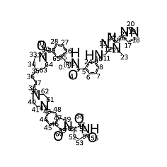 C[C@@H](NC(=O)c1cccc(NCc2nnc(-c3ccncn3)n2C)c1)c1cccc(C(=O)N2CCC(CCCN3CCN(c4ccc5c(c4)CN(C4CCC(=O)NC4=O)C5=O)CC3)CC2)c1